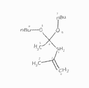 C=C(C)[SiH2]C(C)(OCCCC)OCCCC